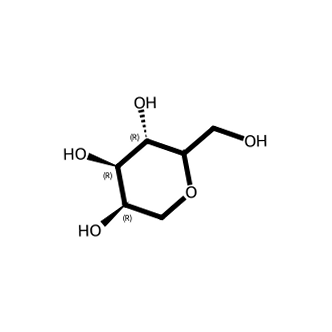 OC[C]1OC[C@@H](O)[C@@H](O)[C@@H]1O